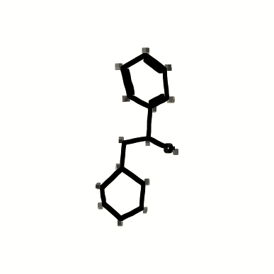 [O]C(CC1CCCCC1)c1ccccc1